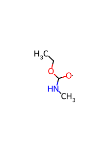 CCOC([O])NC